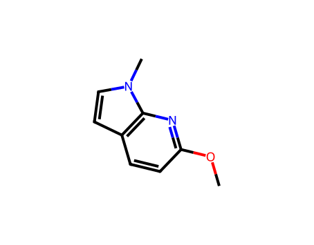 COc1ccc2ccn(C)c2n1